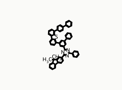 CC1(C)c2ccccc2-c2ccc(-c3nc(-c4ccccc4)nc(-c4cc(-c5ccccc5)cc(-c5cccc6c5sc5c(-c7ccc(-c8ccccc8)cc7)cccc56)c4)n3)cc21